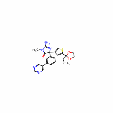 CCC1(c2cc(C3(c4cccc(-c5cncnc5)c4)N=C(N)N(C)C3=O)cs2)OCCO1